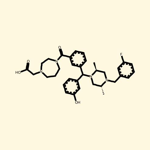 C[C@@H]1CN(C(c2cccc(O)c2)c2cccc(C(=O)N3CCCN(CC(=O)O)CC3)c2)[C@@H](C)CN1Cc1cccc(F)c1